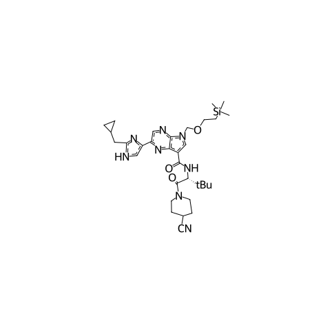 CC(C)(C)[C@@H](NC(=O)c1cn(COCC[Si](C)(C)C)c2ncc(-c3c[nH]c(CC4CC4)n3)nc12)C(=O)N1CCC(C#N)CC1